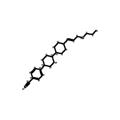 CCCOCC=CC1CCC(C2CCC(c3ccc(C#N)cc3)CC2)CC1